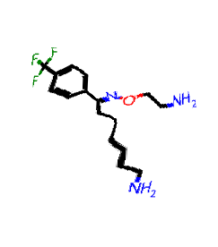 NCCCCCCC(=NOCCN)c1ccc(C(F)(F)F)cc1